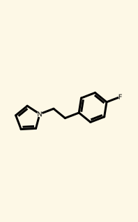 Fc1ccc(CCn2cccc2)cc1